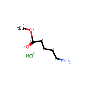 CC(C)(C)OC(=O)CCCCN.Cl